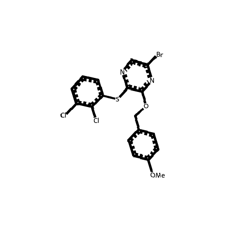 COc1ccc(COc2nc(Br)cnc2Sc2cccc(Cl)c2Cl)cc1